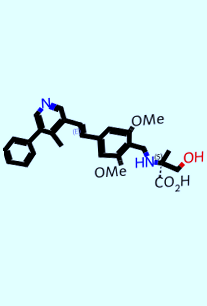 COc1cc(/C=C/c2cncc(-c3ccccc3)c2C)cc(OC)c1CN[C@@](C)(CO)C(=O)O